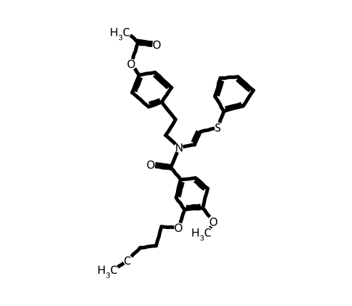 CCCCCOc1cc(C(=O)N(/C=C/Sc2ccccc2)CCc2ccc(OC(C)=O)cc2)ccc1OC